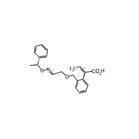 CC(O/N=C/COCc1ccccc1/C(=C\C(F)(F)F)C(=O)O)c1ccccc1